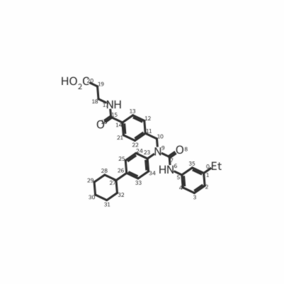 CCc1cccc(NC(=O)N(Cc2ccc(C(=O)NCCC(=O)O)cc2)c2ccc(C3CCCCC3)cc2)c1